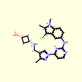 Cc1nn(-c2ccnc(Nc3ccc4c(c3)c(Cl)c(C)n4C)n2)cc1CN[C@H]1C[C@@H](O)C1